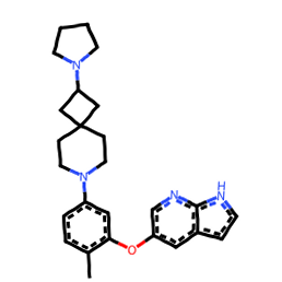 Cc1ccc(N2CCC3(CC2)CC(N2CCCC2)C3)cc1Oc1cnc2[nH]ccc2c1